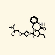 CCC(C)C1C(=O)Nc2ccccc2CN1C(=O)N1CC(OCC(=O)N(C)C)C1